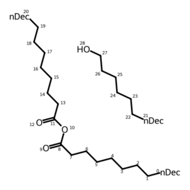 CCCCCCCCCCCCCCCCCC(=O)OC(=O)CCCCCCCCCCCCCCCCC.CCCCCCCCCCCCCCCCO